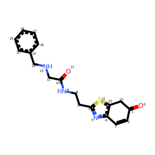 O=C1C=Cc2nc(CCNC(=O)CNCc3ccccc3)sc2C1